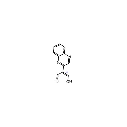 O=C/C(=C\O)c1cnc2ccccc2n1